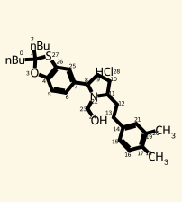 CCCCC1(CCCC)Oc2ccc(C3CCC(CCc4ccc(C)c(C)c4)N3CO)cc2S1.Cl